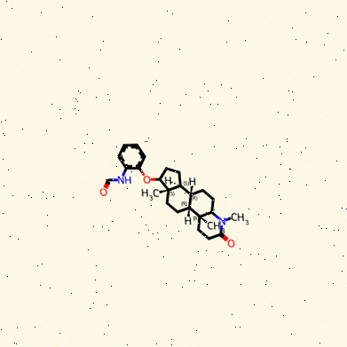 CN1C(=O)CC[C@@]2(C)C1CC[C@@H]1[C@H]2CC[C@]2(C)C(Oc3ccccc3NC=O)CC[C@@H]12